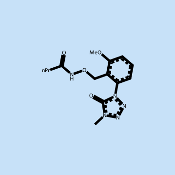 CCCC(=O)NOCc1c(OC)cccc1-n1nnn(C)c1=O